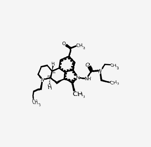 CCCN1CCC[C@@H]2c3cc(C(C)=O)cc4c3c(c(C)n4NC(=O)N(CC)CC)C[C@H]21